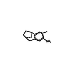 Cc1cc2c(cc1N)CC1CCC2C1